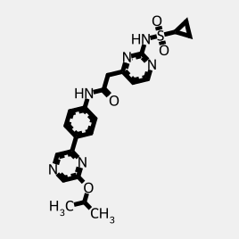 CC(C)Oc1cncc(-c2ccc(NC(=O)Cc3ccnc(NS(=O)(=O)C4CC4)n3)cc2)n1